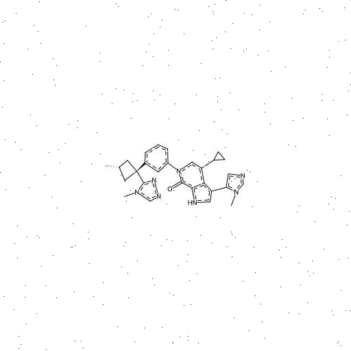 Cn1cncc1-c1c[nH]c2c(=O)n(-c3cccc([C@]4(c5nncn5C)C[C@@H](C)C4)c3)cc(C3CC3)c12